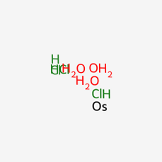 Cl.Cl.Cl.O.O.O.[Os]